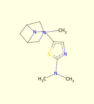 CN1CC2CC(C1)N2Cc1cnc(N(C)C)s1